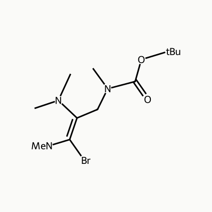 CN/C(Br)=C(/CN(C)C(=O)OC(C)(C)C)N(C)C